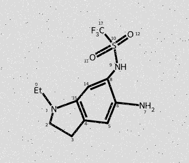 CCN1CCc2cc(N)c(NS(=O)(=O)C(F)(F)F)cc21